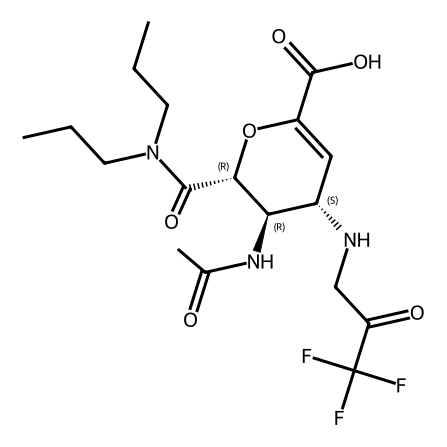 CCCN(CCC)C(=O)[C@@H]1OC(C(=O)O)=C[C@H](NCC(=O)C(F)(F)F)[C@H]1NC(C)=O